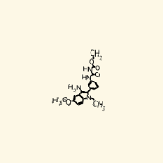 CCOC(=O)NC(=O)Nc1cccc(-c2c(N)c3cc(OC)ccc3n2CC)c1